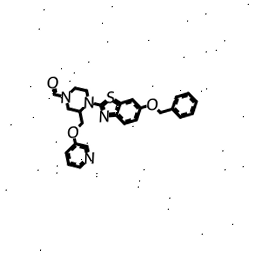 O=CN1CCN(c2nc3ccc(OCc4ccccc4)cc3s2)C(COc2cccnc2)C1